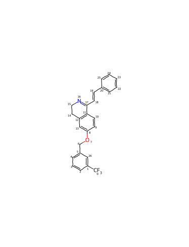 FC(F)(F)c1cccc(COc2ccc3c(c2)CCN=C3C=Cc2ccccc2)c1